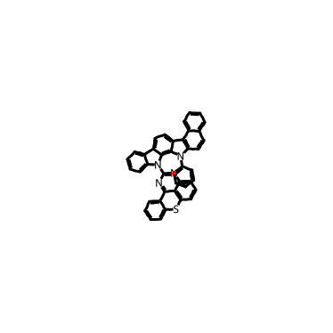 c1ccc(-n2c3ccc4ccccc4c3c3ccc4c5ccccc5n(-c5nc6c7c(cccc7n5)Sc5ccccc5-6)c4c32)cc1